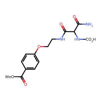 COC(=O)c1ccc(OCCNC(=O)C(NC(=O)O)C(N)=O)cc1